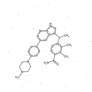 Cc1c(C(N)=O)ccc(C(C)c2c[nH]c3ncc(-c4ccc(N5CCN(C)CC5)cc4)cc23)c1C